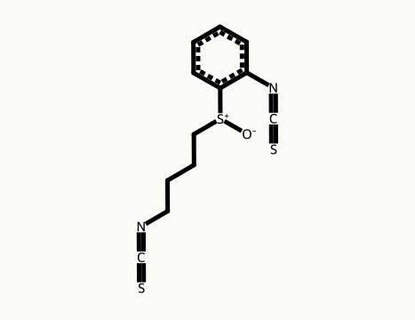 [O-][S+](CCCCN=C=S)c1ccccc1N=C=S